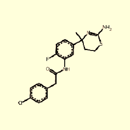 CC1(c2ccc(F)c(NC(=O)Cc3ccc(Cl)cc3)c2)CCSC(N)=N1